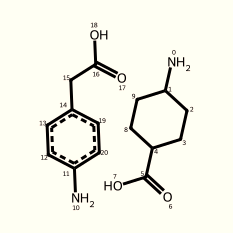 NC1CCC(C(=O)O)CC1.Nc1ccc(CC(=O)O)cc1